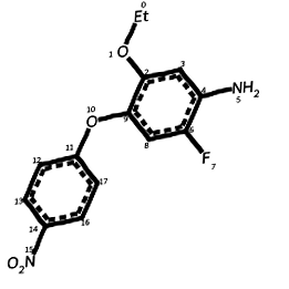 CCOc1cc(N)c(F)cc1Oc1ccc([N+](=O)[O-])cc1